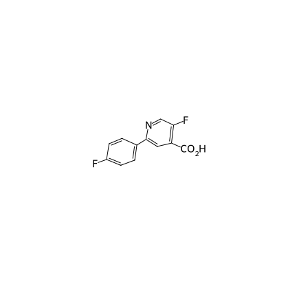 O=C(O)c1cc(-c2ccc(F)cc2)ncc1F